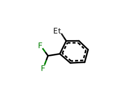 CCc1ccccc1C(F)F